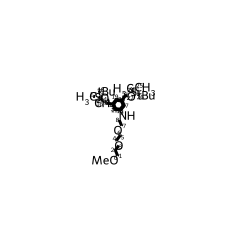 COCCOCCOCCNc1cc(CO[Si](C)(C)C(C)(C)C)cc(CO[Si](C)(C)C(C)(C)C)c1